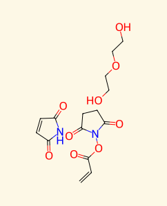 C=CC(=O)ON1C(=O)CCC1=O.O=C1C=CC(=O)N1.OCCOCCO